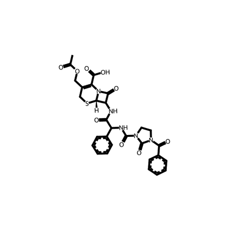 CC(=O)OCC1=C(C(=O)O)N2C(=O)C(NC(=O)C(NC(=O)N3CCN(C(=O)c4ccccc4)C3=O)c3ccccc3)[C@@H]2SC1